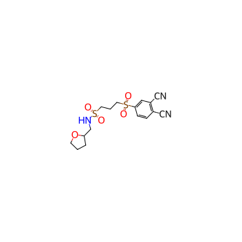 N#Cc1ccc(S(=O)(=O)CCCS(=O)(=O)NCC2CCCO2)cc1C#N